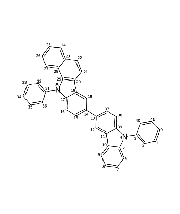 c1ccc(-n2c3ccccc3c3cc(-c4ccc5c(c4)c4ccc6ccccc6c4n5-c4ccccc4)ccc32)cc1